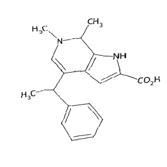 CC(C1=CN(C)C(C)c2[nH]c(C(=O)O)cc21)c1ccccc1